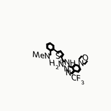 CNCc1ccccc1-c1ccc([C@@H](N)Nc2nnc(C(F)(F)F)c3ccc(N4CCOCC4)cc23)s1